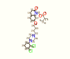 CC(C)C(C)C(=O)OCn1c(=O)ccc2ccc(OCCCCN3CCN(c4cccc(Cl)c4Cl)CC3)cc21